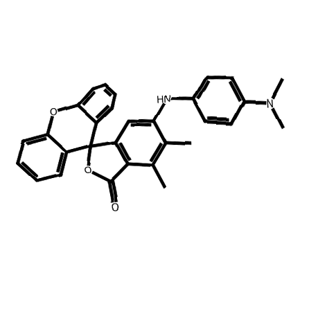 Cc1c(Nc2ccc(N(C)C)cc2)cc2c(c1C)C(=O)OC21c2ccccc2Oc2ccccc21